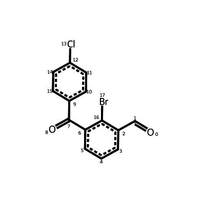 O=[C]c1cccc(C(=O)c2ccc(Cl)cc2)c1Br